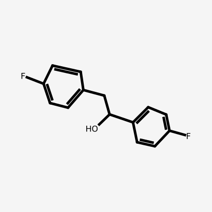 OC(Cc1ccc(F)cc1)c1ccc(F)cc1